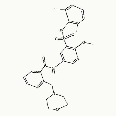 COc1ncc(NC(=O)c2ccccc2CN2CCOCC2)cc1S(=O)(=O)Nc1c(C)cccc1C